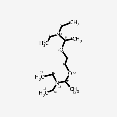 CCN(CC)C(C)OCCOC(C)N(CC)CC